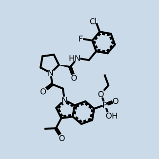 CCOP(=O)(O)c1ccc2c(C(C)=O)cn(CC(=O)N3CCC[C@H]3C(=O)NCc3cccc(Cl)c3F)c2c1